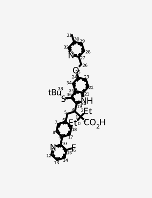 CCC(CC)(C(=O)O)C(Cc1ccc(-c2ncccc2F)cc1)c1[nH]c2ccc(OCc3ccc(C)cn3)cc2c1SC(C)(C)C